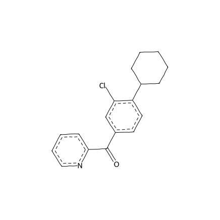 O=C(c1ccc(C2CCCCC2)c(Cl)c1)c1ccccn1